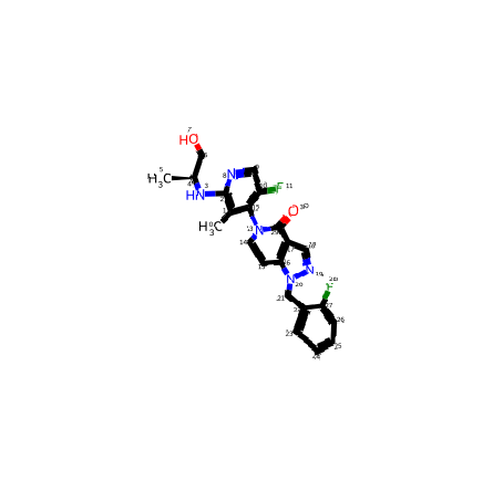 Cc1c(N[C@@H](C)CO)ncc(F)c1-n1ccc2c(cnn2Cc2ccccc2F)c1=O